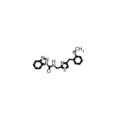 COc1ccccc1Cc1csc(CNC(=O)n2nnc3ccccc32)n1